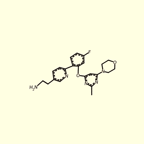 Cc1nc(Oc2cc(F)ccc2-c2ccc(CCN)cn2)cc(N2CCOCC2)n1